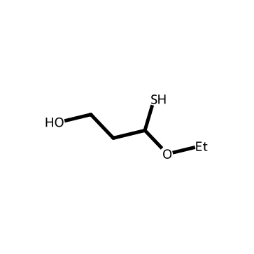 CCOC(S)CCO